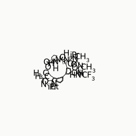 CCn1c(-c2cccnc2C(C)C)c2c3cc(ccc31)-c1cc(O)cc(c1)C[C@H](NC(=O)[C@H](C(C)C)N(C)C(=O)CN(C)C(=O)[C@@H]1N[C@H]1C(F)(F)F)C(=O)N1CCC[C@H](N1)C(=O)OCC(C)(C)C2